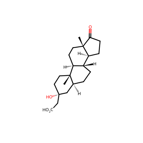 C[C@]12CC[C@](O)(CC(=O)O)C[C@@H]1CC[C@@H]1[C@@H]2CC[C@]2(C)C(=O)CC[C@@H]12